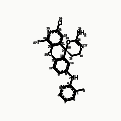 Cc1cccnc1Nc1ccc2c(c1)[C@@]1(CCN=C(N)O1)c1cc(Cl)nc(F)c1O2